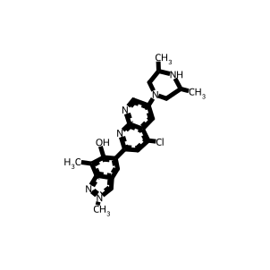 Cc1c(O)c(-c2cc(Cl)c3cc(N4CC(C)NC(C)C4)cnc3n2)cc2cn(C)nc12